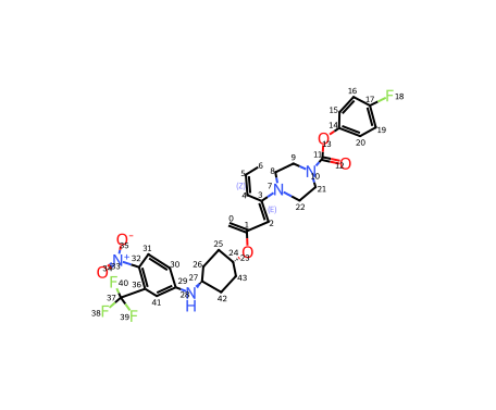 C=C(/C=C(\C=C/C)N1CCN(C(=O)Oc2ccc(F)cc2)CC1)O[C@H]1CC[C@H](Nc2ccc([N+](=O)[O-])c(C(F)(F)F)c2)CC1